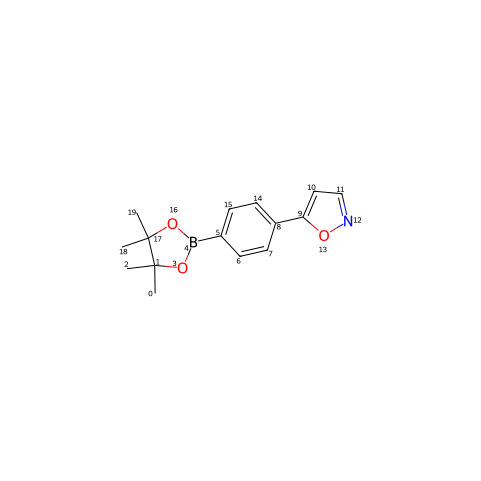 CC1(C)OB(c2ccc(-c3ccno3)cc2)OC1(C)C